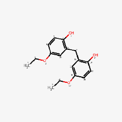 CCOc1ccc(O)c(Cc2cc(OCC)ccc2O)c1